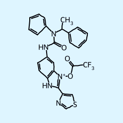 CC(c1ccccc1)N(C(=O)Nc1ccc2[nH]c(-c3cscn3)[n+](OC(=O)C(F)(F)F)c2c1)c1ccccc1